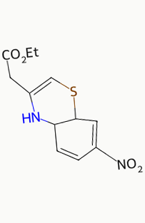 CCOC(=O)CC1=CSC2C=C([N+](=O)[O-])C=CC2N1